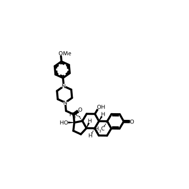 COc1ccc(N2CCN(CC(=O)[C@@]3(O)CC[C@H]4[C@@H]5CCC6=CC(=O)C=C[C@]6(C)[C@H]5C(O)C[C@@]43C)CC2)cc1